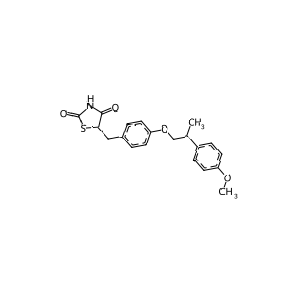 COc1ccc(C(C)COc2ccc(CC3SC(=O)NC3=O)cc2)cc1